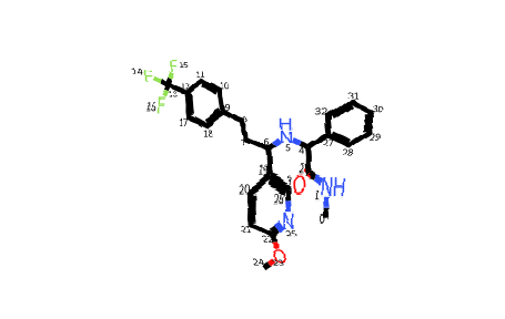 CNC(=O)C(NC(CCc1ccc(C(F)(F)F)cc1)c1ccc(OC)nc1)c1ccccc1